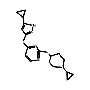 c1cc(Nc2cc(C3CC3)[nH]n2)nc(NC2CCN(C3CC3)CC2)n1